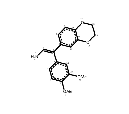 COc1ccc(C(=CN)c2ccc3c(c2)OCCO3)cc1OC